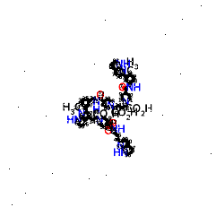 Cc1ccc(NC(=O)C2CCN(C(CCC(C(=O)O)N3CCC(C(=O)NCc4ccc(C)c(-c5cc(CC(C(=O)O)N6CCC(S(=O)(=O)NCCCc7ccc8c(n7)NCCC8)CC6)c6c(n5)NCCC6)c4)CC3)C(=O)O)CC2)cc1-c1ccc2c(n1)NCCC2